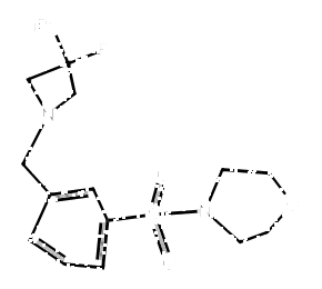 CC(C)C1(F)CN(Cc2cccc(S(=O)(=O)N3CCOCC3)c2)C1